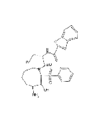 CC(C)C[C@H](NC(=O)c1cc2ccccc2o1)C(=O)N1CCCCC(N)C(O)C1S(=O)(=O)c1ccccn1